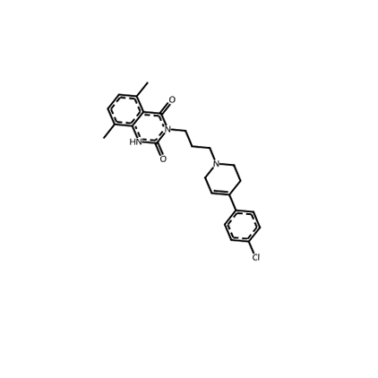 Cc1ccc(C)c2c(=O)n(CCCN3CC=C(c4ccc(Cl)cc4)CC3)c(=O)[nH]c12